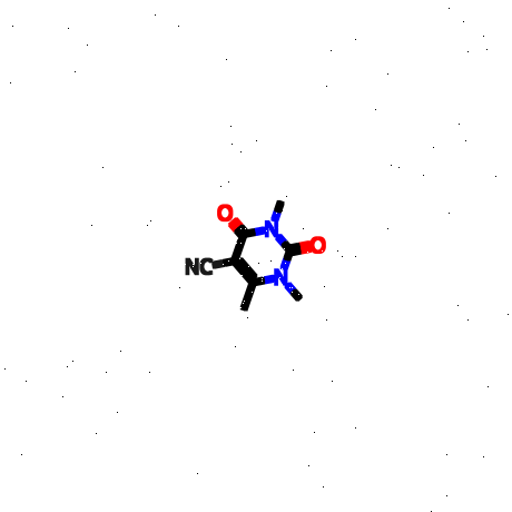 Cc1c(C#N)c(=O)n(C)c(=O)n1C